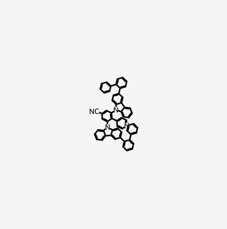 N#Cc1cc(-n2c3ccccc3c3cc(-c4ccccc4-c4ccccc4)ccc32)c(-c2ccncc2)c(-n2c3ccccc3c3cc(-c4ccccc4-c4ccccc4)ccc32)c1